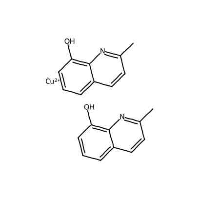 Cc1ccc2cccc(O)c2n1.Cc1ccc2cccc(O)c2n1.[Cu+2]